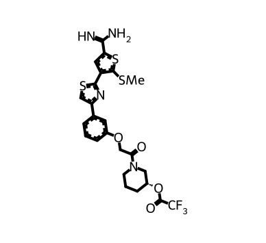 CSc1sc(C(=N)N)cc1-c1nc(-c2cccc(OCC(=O)N3CCC[C@@H](OC(=O)C(F)(F)F)C3)c2)cs1